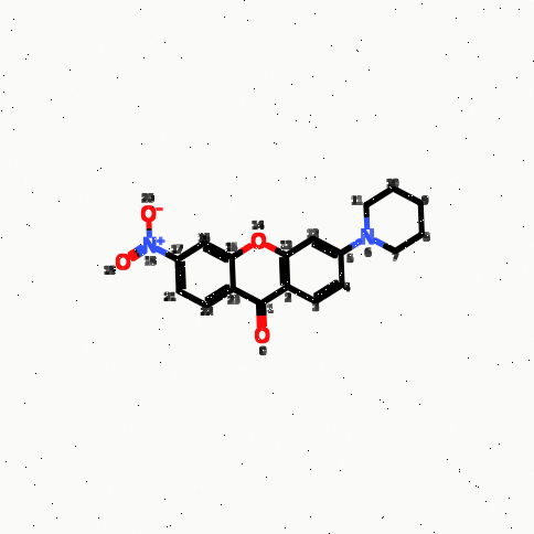 O=c1c2ccc(N3CCCCC3)cc2oc2cc([N+](=O)[O-])ccc12